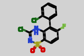 O=S1(=O)N=C(Cl)Nc2c1ccc(F)c2-c1ccccc1Cl